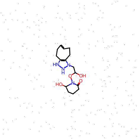 O=C1CCCC(O)N1OC(O)CN1NNC2=C1CC/C=C/CC2